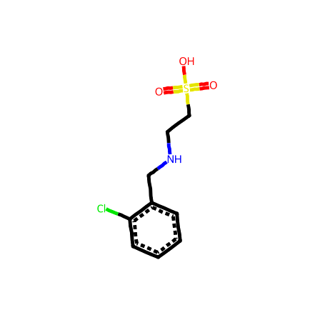 O=S(=O)(O)CCNCc1ccccc1Cl